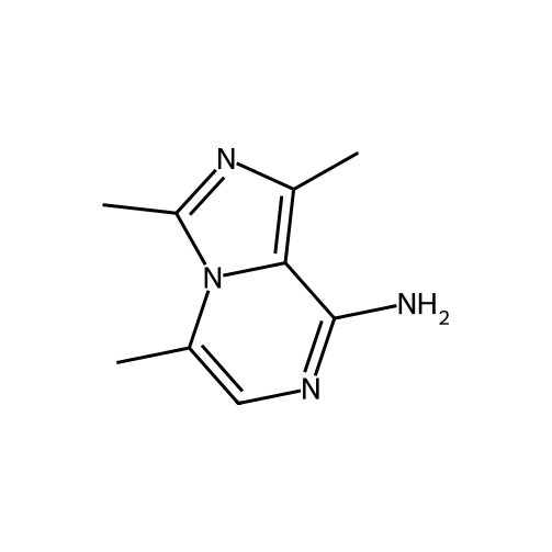 Cc1nc(C)n2c(C)cnc(N)c12